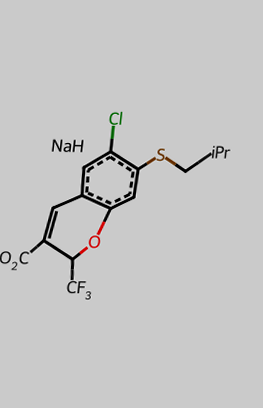 CC(C)CSc1cc2c(cc1Cl)C=C(C(=O)O)C(C(F)(F)F)O2.[NaH]